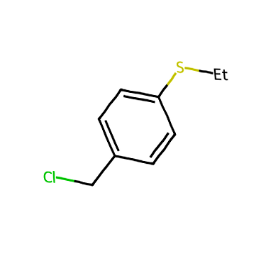 CCSc1ccc(CCl)cc1